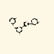 Cc1cc(Nc2cc(C(C)(C)C)ccn2)nc(-c2cnc([C@]3(O)CC[C@@H](C(=O)O)C(C)(C)C3)s2)c1